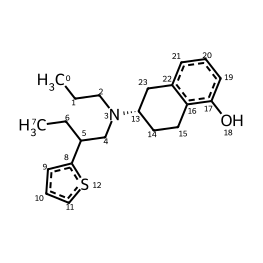 CCCN(CC(CC)c1cccs1)[C@H]1CCc2c(O)cccc2C1